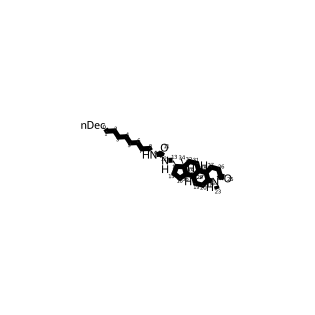 CCCCCCCCCCCCCCCCCCNC(=O)NC[C@H]1CC[C@H]2[C@@H]3CC[C@H]4N(C)C(=O)CC[C@]4(C)[C@H]3CC[C@]12C